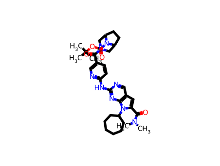 CN(C)C(=O)c1cc2cnc(Nc3ccc(C(=O)N4CC5CCC(C4)N5C(=O)OC(C)(C)C)cn3)nc2n1C1CCCCCC1